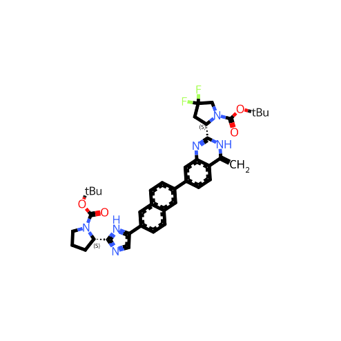 C=C1NC([C@@H]2CC(F)(F)CN2C(=O)OC(C)(C)C)=Nc2cc(-c3ccc4cc(-c5cnc([C@@H]6CCCN6C(=O)OC(C)(C)C)[nH]5)ccc4c3)ccc21